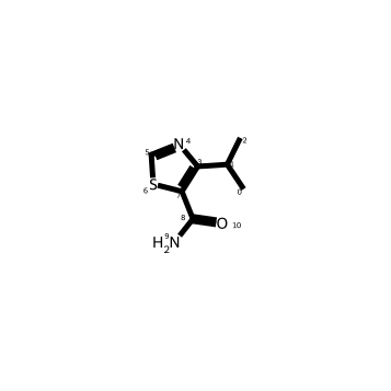 CC(C)c1ncsc1C(N)=O